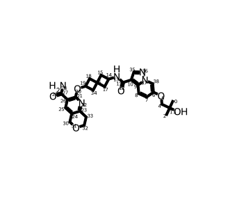 CC(C)(O)COc1ccc2c(C(=O)NC3CC4(C3)CC(Oc3nc5c(cc3C(N)=O)COCC5)C4)cnn2c1